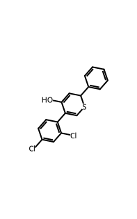 OC1=CC(c2ccccc2)SC=C1c1ccc(Cl)cc1Cl